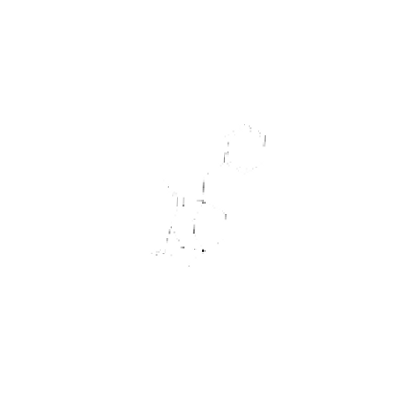 [N-]=[N+]1C2CC3(CCC1(Cc1ccccc1)CC3)OC2=O